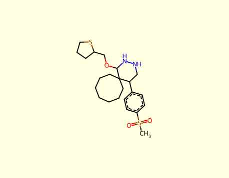 CS(=O)(=O)c1ccc(C2CNNC(OCC3CCCS3)C23CCCCCCC3)cc1